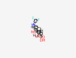 C[C@]12Cc3cnn(-c4cc(F)cc(F)c4)c3C=C1CC[C@@H]1[C@@H]2[C@@H](O)C[C@@]2(C)[C@H]1CC[C@]2(O)C(=O)CO